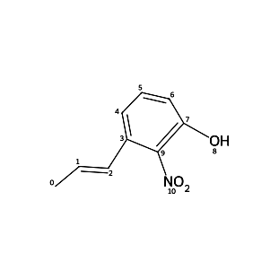 CC=Cc1cccc(O)c1[N+](=O)[O-]